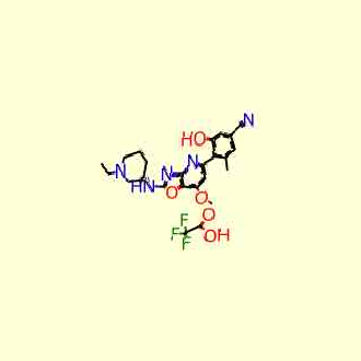 CCN1CCC[C@@H](Nc2nc3nc(-c4c(C)cc(C#N)cc4O)cc(OC)c3o2)C1.O=C(O)C(F)(F)F